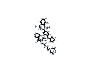 C[C@@H](c1cccnc1)N(CCOCCN1CCOCC1)C(=O)O[C@@H](c1ccccc1)c1ccc(C(=O)Nc2ccccc2N)cc1